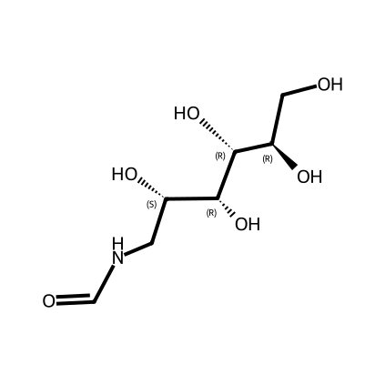 O=CNC[C@H](O)[C@@H](O)[C@H](O)[C@H](O)CO